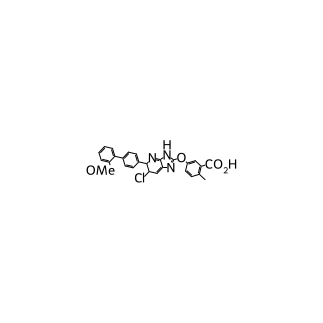 COc1ccccc1-c1ccc(C2N=c3[nH]c(Oc4ccc(C)c(C(=O)O)c4)nc3=CC2Cl)cc1